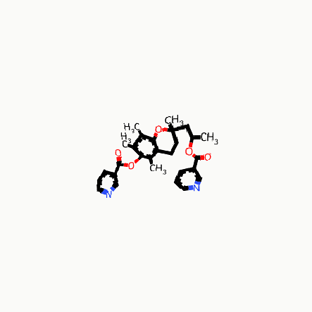 Cc1c(C)c2c(c(C)c1OC(=O)c1cccnc1)CCC(C)(CC(C)OC(=O)c1cccnc1)O2